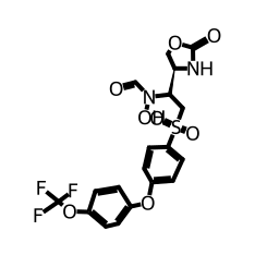 O=CN(O)C(CS(=O)(=O)c1ccc(Oc2ccc(OC(F)(F)F)cc2)cc1)[C@H]1COC(=O)N1